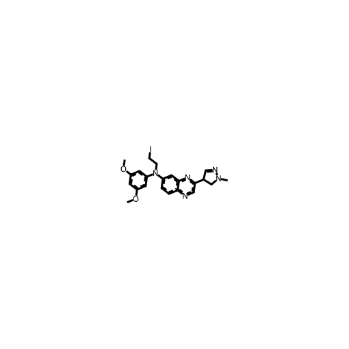 COc1cc(OC)cc(N(CCI)c2ccc3ncc(C4C=NN(C)C4)nc3c2)c1